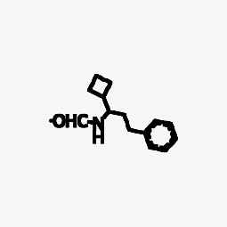 O=[C]NC(CCc1ccccc1)C1CCC1